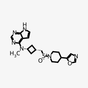 CN(c1ncnc2[nH]ccc12)[C@H]1C[C@@H](C[S+]([O-])N2CCC(c3cnco3)CC2)C1